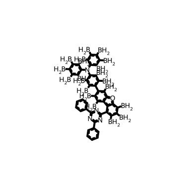 Bc1c(B)c(B)c(N(c2c(B)c(B)c(B)c(B)c2B)c2c(B)c(B)c(-c3c(B)c(B)c4c(oc5c(B)c(B)c(B)c(-c6nc(-c7ccccc7)nc(-c7ccccc7)n6)c54)c3B)c(B)c2B)c(B)c1B